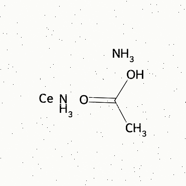 CC(=O)O.N.N.[Ce]